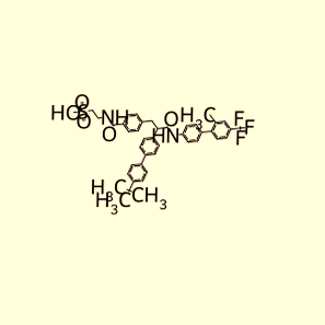 Cc1cc(C(F)(F)F)ccc1-c1ccc(NC(=O)C(Cc2ccc(C(=O)NCCS(=O)(=O)O)cc2)c2ccc(-c3ccc(C(C)(C)C)cc3)cc2)cc1